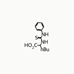 CCCCC(NC(=S)Nc1ccccc1)C(=O)O